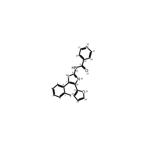 Cc1ccccc1-c1sc(NC(=O)c2ccncc2)nc1-c1ccco1